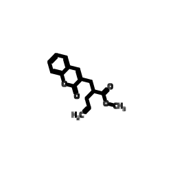 C=CCC(Cc1cc2ccccc2oc1=O)C(=O)OC